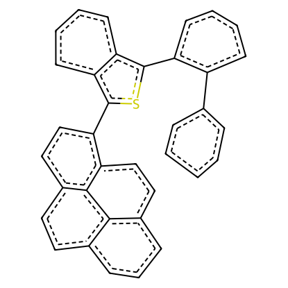 c1ccc(-c2ccccc2-c2sc(-c3ccc4ccc5cccc6ccc3c4c56)c3ccccc23)cc1